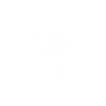 Cc1nccn1-c1ccc(C2C(C#N)=C(N)Oc3[nH]nc(-c4ncccn4)c32)cc1